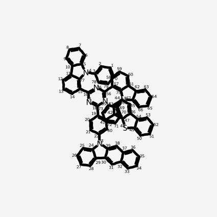 c1ccc(-n2c3ccccc3c3cccc(-c4nc(-c5ccc(-n6c7ccccc7c7cc8ccccc8cc76)cc5-c5cccc6c5sc5ccccc56)nc(-c5cccc6c7ccccc7n(-c7ccccc7)c56)n4)c32)cc1